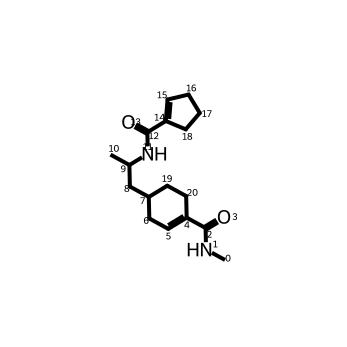 CNC(=O)C1=CCC(CC(C)NC(=O)C2=CCCC2)CC1